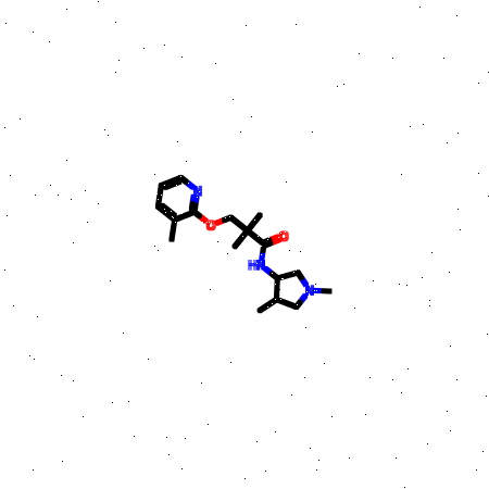 Cc1cccnc1OCC(C)(C)C(=O)NC1CN(C)CC1C